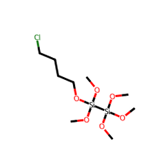 CO[Si](OC)(OC)[Si](OC)(OC)OCCCCCl